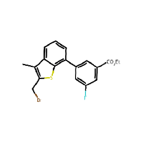 CCOC(=O)c1cc(F)cc(-c2cccc3c(C)c(CBr)sc23)c1